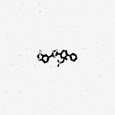 CN(C)CC1(C)CC(c2nc(-c3ccc4nc[nH]c4c3)no2)=CC=C1c1ccccc1